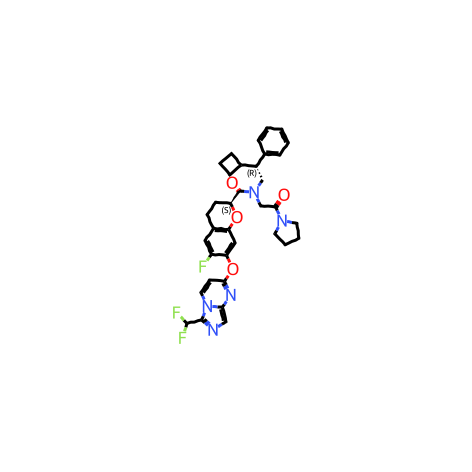 O=C(CN(C[C@@H](c1ccccc1)C1CCC1)C(=O)[C@@H]1CCc2cc(F)c(Oc3ccn4c(C(F)F)ncc4n3)cc2O1)N1CCCC1